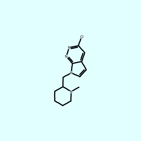 CN1CCCCC1Cn1ccc2cc(Cl)nnc21